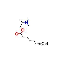 CCCCCCCCCCCCCC(=O)OCC(C)N(C)C